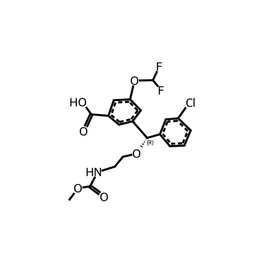 COC(=O)NCCO[C@@H](c1cccc(Cl)c1)c1cc(OC(F)F)cc(C(=O)O)c1